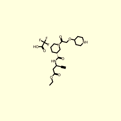 C#CC(CC(=O)OCC)NC(=O)[C@@H]1CCCN(C(=O)COC2CCNCC2)C1.O=C(O)C(F)(F)F